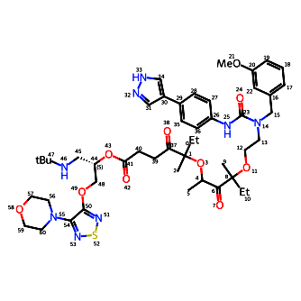 CCC(C)(OC(C)C(=O)C(C)(CC)OCCN(Cc1cccc(OC)c1)C(=O)Nc1ccc(-c2cn[nH]c2)cc1)C(=O)CCC(=O)O[C@@H](CNC(C)(C)C)COc1nsnc1N1CCOCC1